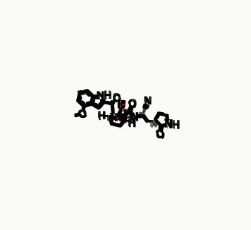 COc1cccc2[nH]c(C(=O)N3[C@@H]4CC[C@H]([C@@H]3C(=O)N[C@H](C#N)C[C@@H]3CCNC3=O)C(F)(F)C4)cc12